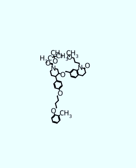 COCCCN1C(=O)CCc2ccc(COC3CN(C(=O)OC(C)(C)C)CCC3c3ccc(OCCCCOc4ccccc4C)cc3)cc21